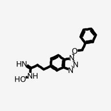 N=C(CCc1ccc2c(c1)nnn2OCc1ccccc1)NO